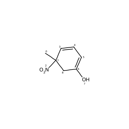 CC1([N+](=O)[O-])C=CC=C(O)C1